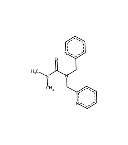 CN(C)C(=O)N(Cc1ccccn1)Cc1ccccn1